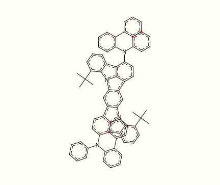 CC(C)(C)c1cccc2c3c(N(c4ccccc4)c4ccccc4-c4ccccc4)ccc4c5cc6c(cc5n(c12)c43)c1ccc(N(c2ccccc2)c2ccccc2-c2ccccc2)c2c3cccc(C(C)(C)C)c3n6c12